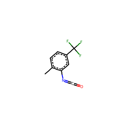 Cc1ccc(C(F)(F)F)cc1N=C=O